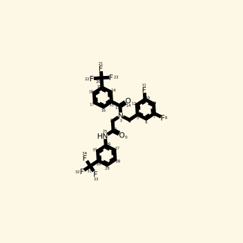 O=C(CN(Cc1cc(F)cc(F)c1)C(=O)c1cccc(C(F)(F)F)c1)Nc1cccc(C(F)(F)F)c1